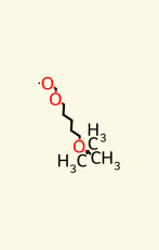 CC(C)(C)OCCCCCOC[O]